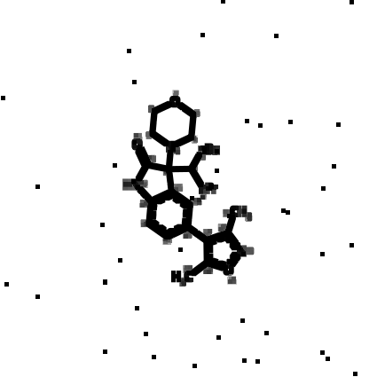 CCCCC(CCC)C1(N2CCOCC2)C(=O)Nc2ccc(-c3c(C)noc3C)cc21